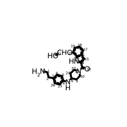 NCCc1ccc(NC2CCN(C(=O)c3cc4ccccc4[nH]3)CC2)cc1.O=CO